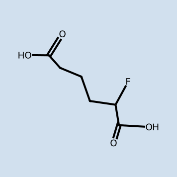 O=C(O)CCCC(F)C(=O)O